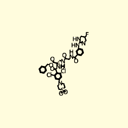 O=C(CNC(=O)c1cccc(NC2=NCC(F)CN2)c1)NC[C@H](NC(=O)c1c(Cl)cc(N2CCS(=O)(=O)CC2)cc1Cl)C(=O)OCc1ccccc1